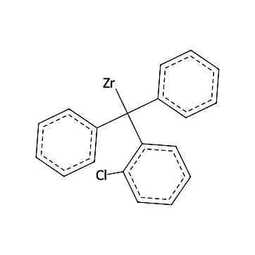 Clc1ccccc1[C]([Zr])(c1ccccc1)c1ccccc1